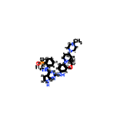 CN1CCN([C@H]2CCN3c4ccc(Nc5nc(Nc6ccccc6P(C)(C)=O)c6cc[nH]c6n5)cc4OC[C@H]3C2)CC1